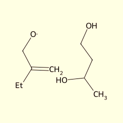 C=C(CC)C[O].CC(O)CCO